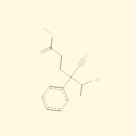 COC(=O)CCC(C#N)(c1ccccc1)C(C)C